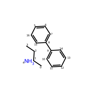 CCCC.N.c1ccc(-c2ccccc2)cc1